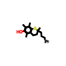 Cc1c(C)c2c(c(C)c1O)CCC(C)(CCCC(C)C)S2